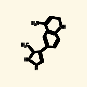 CC1NNC=C1c1ccc2c(c1)C(N)=CCN2